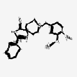 CCCOc1cc(CN2CCC3(CC2)N=C(c2ccccc2)NC3=O)ccc1OC